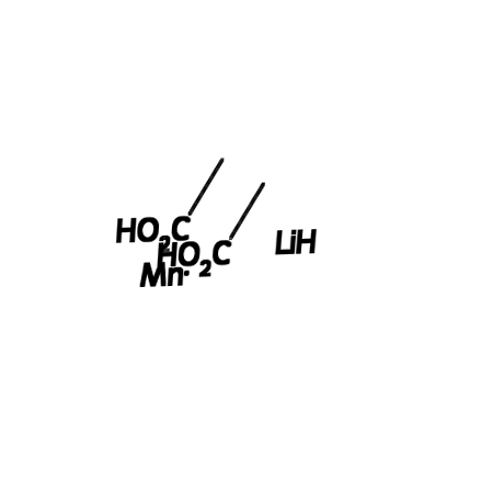 CC(=O)O.CC(=O)O.[LiH].[Mn]